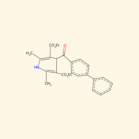 CCOC(=O)C1=C(C)NC(C)=C(C(=O)OCC)C1C(=O)c1ccc(-c2ccccc2)cc1